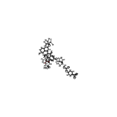 CC(C)[Si](C#Cc1c(F)ccc2cc(O[Si](C(C)C)(C(C)C)C(C)C)cc(-c3ncc4c(N5CCC[C@@](C)(O)C5)nc(OC[C@@]56CCCN5[C@H](COC(=O)Oc5ccc([N+](=O)[O-])cc5)CC6)nc4c3F)c12)(C(C)C)C(C)C